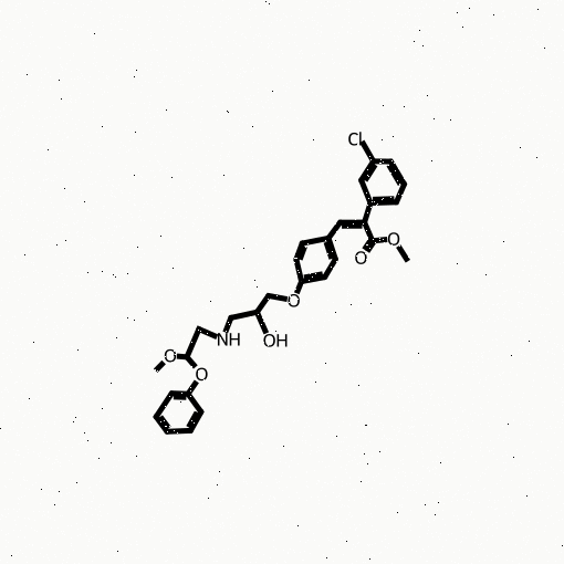 COC(=O)C(=Cc1ccc(OCC(O)CNCC(OC)Oc2ccccc2)cc1)c1cccc(Cl)c1